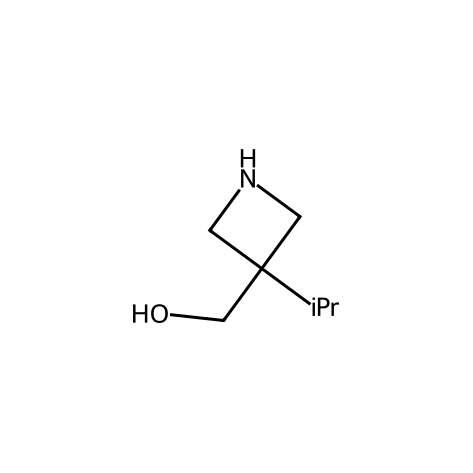 CC(C)C1(CO)CNC1